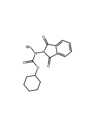 CC(C)(C)N(C(=O)OC1CCCCC1)N1C(=O)c2ccccc2C1=O